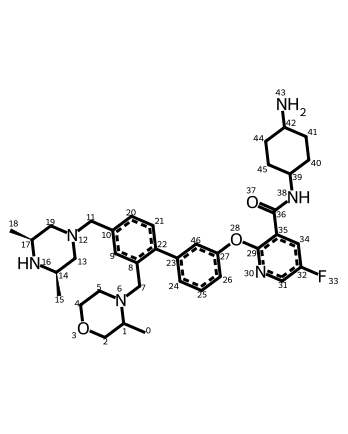 CC1COCCN1Cc1cc(CN2C[C@@H](C)N[C@@H](C)C2)ccc1-c1cccc(Oc2ncc(F)cc2C(=O)NC2CCC(N)CC2)c1